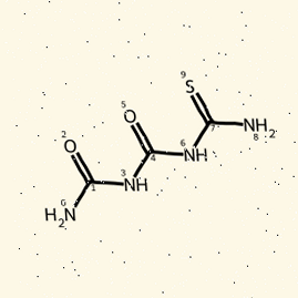 NC(=O)NC(=O)NC(N)=S